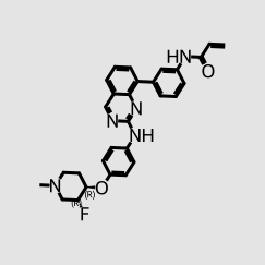 C=CC(=O)Nc1cccc(-c2cccc3cnc(Nc4ccc(O[C@@H]5CCN(C)C[C@H]5F)cc4)nc23)c1